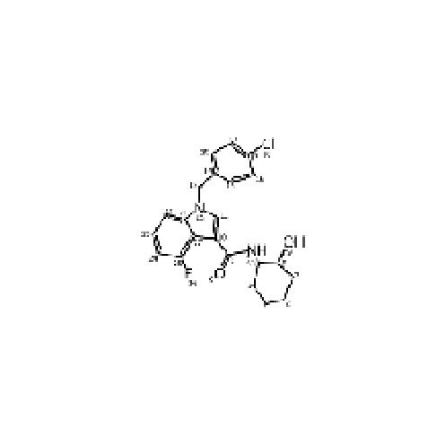 O=C(N[C@H]1CCCC[C@@H]1O)c1cn(Cc2ccc(Cl)cc2)c2cccc(F)c12